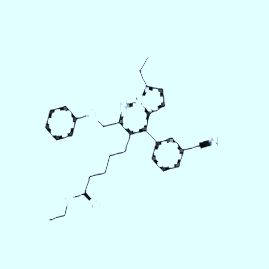 CCOC(=O)CCCCc1c(COc2ccccc2)nn2c(CC)ccc2c1-c1cccc(C#N)c1